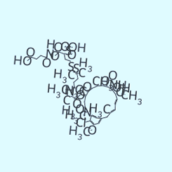 COc1cc2cc(c1Cl)N(C)C(=O)CC(OC(=O)C(C)N(C)C(=O)CCC(C)(C)SSCCC(C(=O)ONC(=O)CCC(=O)O)S(=O)(=O)O)C1(C)OC1C(C)C1CC(O)(NC(=O)O1)C(OC)/C=C/C=C(\C)C2